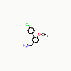 COc1ccc(CN)cc1-c1ccc(Cl)cc1